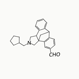 O=Cc1ccc2c(c1)C13CC2c2ccccc2C1CN(CC1CCCC1)C3